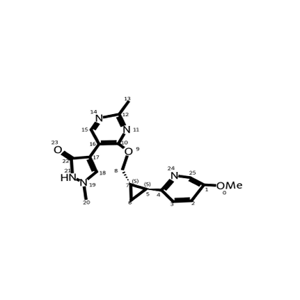 COc1ccc([C@H]2C[C@@H]2COc2nc(C)ncc2-c2cn(C)[nH]c2=O)nc1